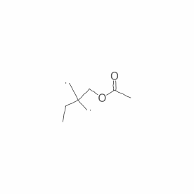 [CH2]C([CH2])(CC)COC(C)=O